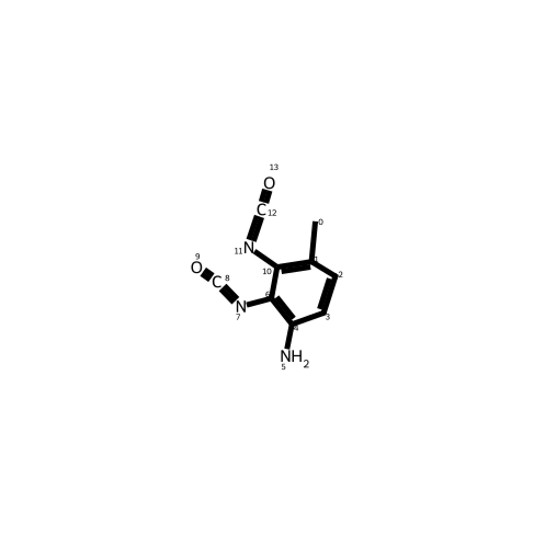 Cc1ccc(N)c(N=C=O)c1N=C=O